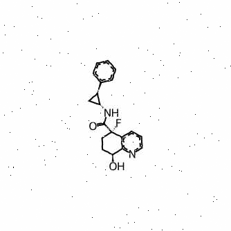 O=C(N[C@@H]1C[C@H]1c1ccccc1)[C@]1(F)CC[C@H](O)c2ncccc21